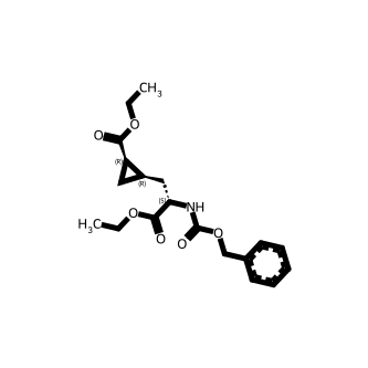 CCOC(=O)[C@H](C[C@H]1C[C@H]1C(=O)OCC)NC(=O)OCc1ccccc1